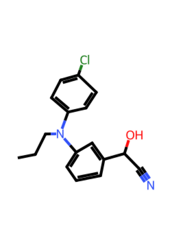 CCCN(c1ccc(Cl)cc1)c1cccc(C(O)C#N)c1